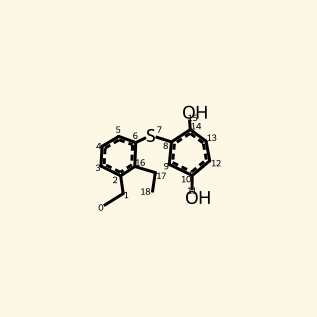 CCc1cccc(Sc2cc(O)ccc2O)c1CC